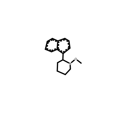 CON1CCCCC1c1cccc2ccccc12